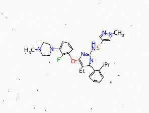 CCc1c(Oc2cccc(N3CCN(C)CC3)c2F)nc(NSc2cnn(C)c2)nc1-c1ccccc1C(C)C